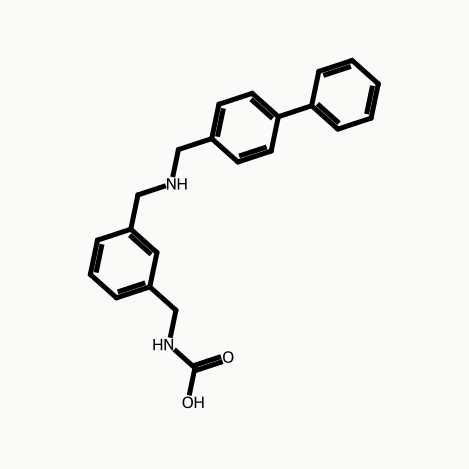 O=C(O)NCc1cccc(CNCc2ccc(-c3ccccc3)cc2)c1